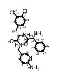 Nc1ccc(CNC(=O)[C@H](Cc2ccc(Cl)c(Cl)c2)NC(=O)[C@@H](N)c2ccccc2)cn1